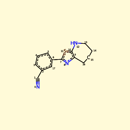 N#Cc1cccc(-c2nc3c(s2)NCCCC3)c1